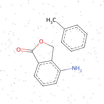 Cc1ccccc1.Nc1cccc2c1COC2=O